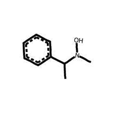 CC(c1ccccc1)N(C)O